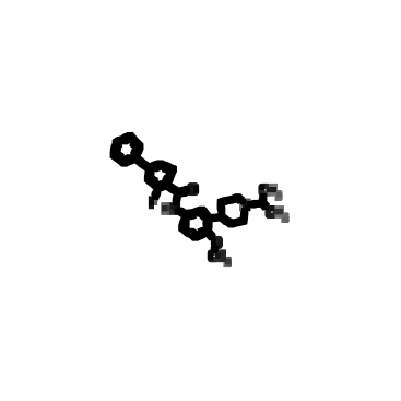 COc1ccc(NC(=O)c2ccc(-c3ccccc3)cc2F)cc1C1CCN(C(C)C)CC1